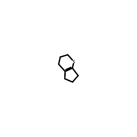 C1CSC2=C(C1)CCC2